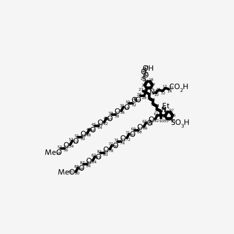 CCN1C(=CC=CC=CC2=[N+](CCCCCC(=O)O)c3ccc(SOOO)cc3C2(C)CCOOCCOCCOCCOCCOCCOCCOCCOCCOCCOC)C(C)(CCOOCCOCCOCCOCCOCCOCCOCCOCCOCCOC)c2cc(S(=O)(=O)O)ccc21